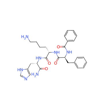 NCCCC[C@H](NC(=O)[C@H](Cc1ccccc1)NC(=O)c1ccccc1)C(=O)N[C@@H](Cc1cnc[nH]1)C(N)=O